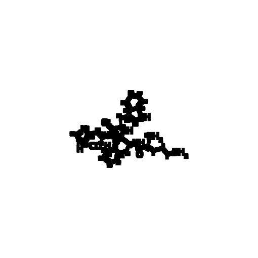 NCCC[C@H](N)C(=O)N[C@@H](Cc1ccccc1)C(=O)N[C@@H](Cc1c[nH]c2ccccc12)C(=O)N[C@@H](Cc1c[nH]cn1)C(=O)O